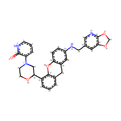 O=c1[nH]cccc1N1CCOC(c2cccc3c2Oc2ccc(NCc4cnc5c(c4)OCO5)cc2C3)C1